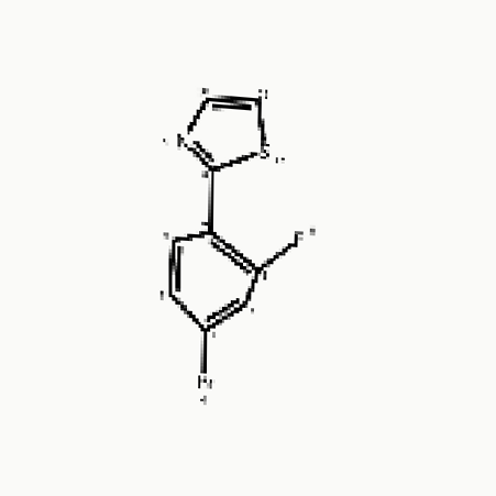 Fc1cc(Br)ccc1-c1nccs1